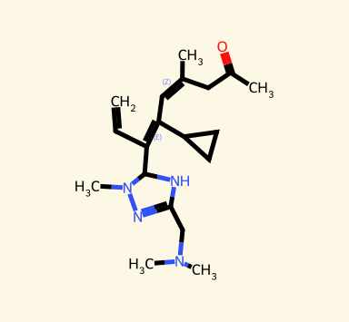 C=C/C(=C(\C=C(\C)CC(C)=O)C1CC1)C1NC(CN(C)C)=NN1C